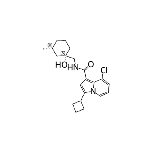 C[C@@H]1CCC[C@@](O)(CNC(=O)c2cc(C3CCC3)n3cccc(Cl)c23)C1